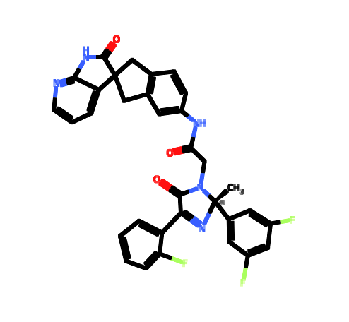 C[C@@]1(c2cc(F)cc(F)c2)N=C(c2ccccc2F)C(=O)N1CC(=O)Nc1ccc2c(c1)CC1(C2)C(=O)Nc2ncccc21